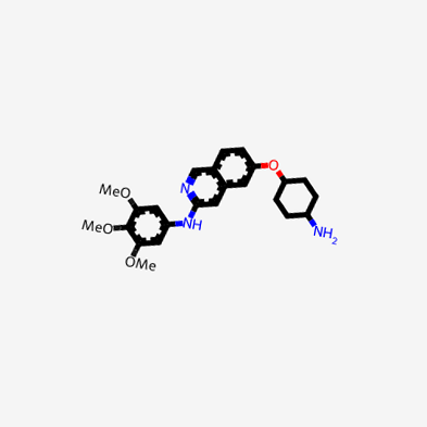 COc1cc(Nc2cc3cc(OC4CCC(N)CC4)ccc3cn2)cc(OC)c1OC